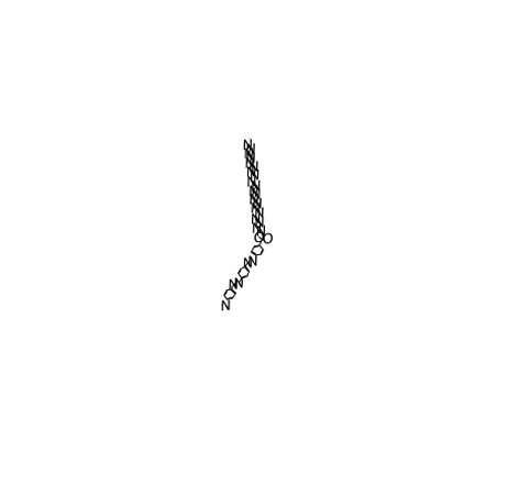 CN=NN=NN=NN=NN=NN=NN=NN=NN=NN=NOC(=O)c1ccc(N=Nc2ccc(N=Nc3ccc(N(C)C)cc3)cc2)cc1